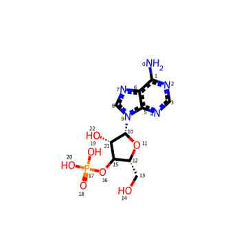 Nc1ncnc2c1ncn2[C@@H]1O[C@H](CO)C(OP(=O)(O)O)[C@@H]1O